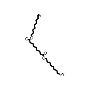 CC(C)CCCCCCCCOC(=O)CCCCCCCC(=O)OCCCCCCCCC(C)C